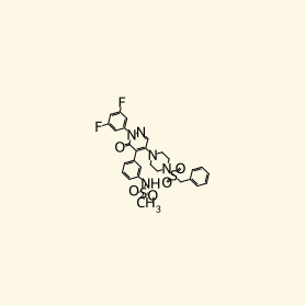 CS(=O)(=O)Nc1cccc(-c2c(N3CCN(S(=O)(=O)Cc4ccccc4)CC3)cnn(-c3cc(F)cc(F)c3)c2=O)c1